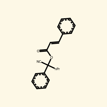 CCCC(C#N)(OC(=O)C=Cc1ccccc1)c1ccccc1